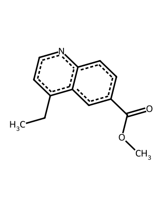 CCc1ccnc2ccc(C(=O)OC)cc12